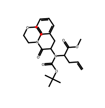 C=CCC(C(=O)OC)N(C(=O)OC(C)(C)C)C(Cc1ccccc1)C(=O)N1CCOCC1